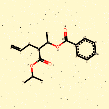 C=CCC(C(=O)OC(C)C)C(C)OC(=O)c1ccccc1